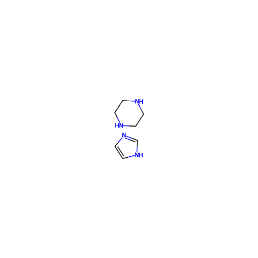 C1CNCCN1.c1c[nH]cn1